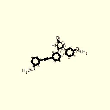 COc1cccc(C#Cc2cccc([C@H]3NC(=O)O[C@@H]3c3cccc(OC)c3)c2)c1